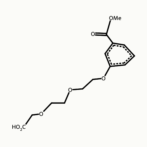 COC(=O)c1cccc(OCCOCCOCC(=O)O)c1